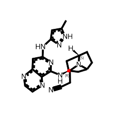 Cc1cc(Nc2cc3nccnc3c(N[C@@H]3CC4CC[C@@H](C3)N4CCC#N)n2)n[nH]1